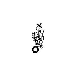 [2H]C([2H])(NC(=O)OC(C)(C)C)C([2H])([2H])OS(=O)(=O)c1ccccc1